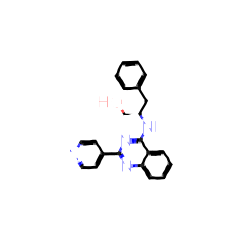 OC[C@@H](Cc1ccccc1)Nc1nc(-c2ccncc2)nc2ccccc12